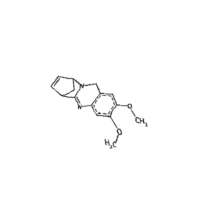 COc1cc2c(cc1OC)N=C1C3C=CC(C3)N1C2